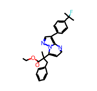 CCOC(=O)C(C)(Cc1ccccc1)c1ccnc2c(-c3ccc(C(C)(C)F)cc3)cnn12